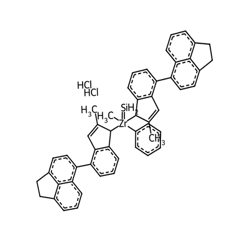 CC1=Cc2c(-c3ccc4c5c(cccc35)CC4)cccc2[CH]1[Zr]([CH3])(=[SiH2])([c]1ccccc1)[CH]1C(C)=Cc2c(-c3ccc4c5c(cccc35)CC4)cccc21.Cl.Cl